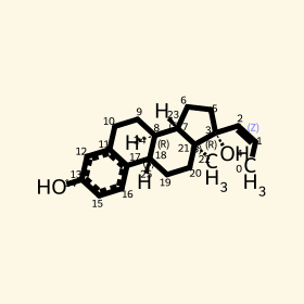 C/C=C\[C@]1(O)CC[C@H]2[C@@H]3CCc4cc(O)ccc4[C@H]3CC[C@@]21C